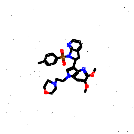 COc1cc2c(nc1OC)c(C1Cc3cccnc3N1S(=O)(=O)c1ccc(C)cc1)cn2CCN1CCOCC1